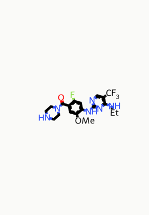 CCNc1nc(Nc2cc(F)c(C(=O)N3CCNCC3)cc2OC)ncc1C(F)(F)F